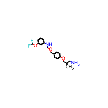 C=C(CN)COc1ccc(COCNc2cccc(OC(F)F)c2)cc1